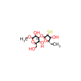 CC[C@@H]1O[C@@H](O[C@@H]2[C@H](O)[C@@H](OC)O[C@H](CO)[C@H]2O)[C@@H](S)[C@@H]1O